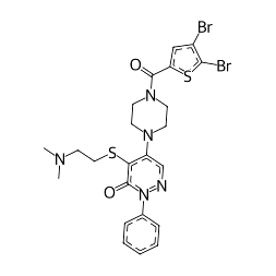 CN(C)CCSc1c(N2CCN(C(=O)c3cc(Br)c(Br)s3)CC2)cnn(-c2ccccc2)c1=O